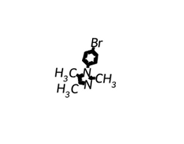 Cc1nc(C)n(-c2ccc(Br)cc2)c1C